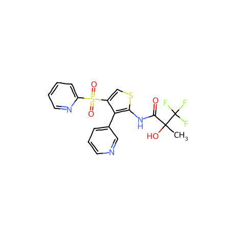 CC(O)(C(=O)Nc1scc(S(=O)(=O)c2ccccn2)c1-c1cccnc1)C(F)(F)F